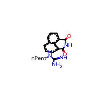 CCCCCNC(=N)N.O=C1NC(=O)c2cccc3cccc1c23